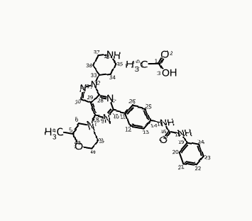 CC(=O)O.CC1CN(c2nc(-c3ccc(NC(=O)Nc4ccccc4)cc3)nc3c2cnn3C2CCNCC2)CCO1